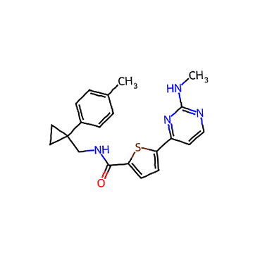 CNc1nccc(-c2ccc(C(=O)NCC3(c4ccc(C)cc4)CC3)s2)n1